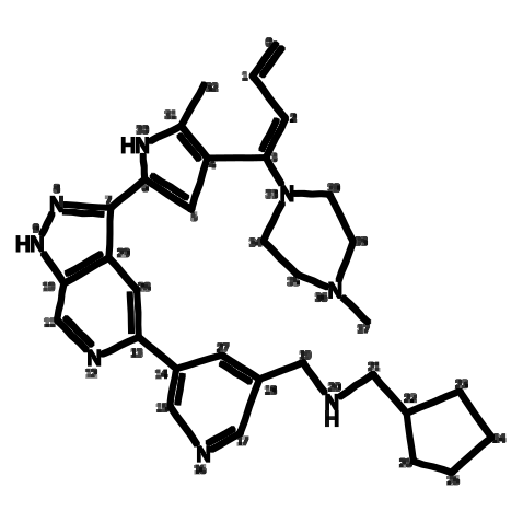 C=C/C=C(\c1cc(-c2n[nH]c3cnc(-c4cncc(CNCC5CCCC5)c4)cc23)[nH]c1C)N1CCN(C)CC1